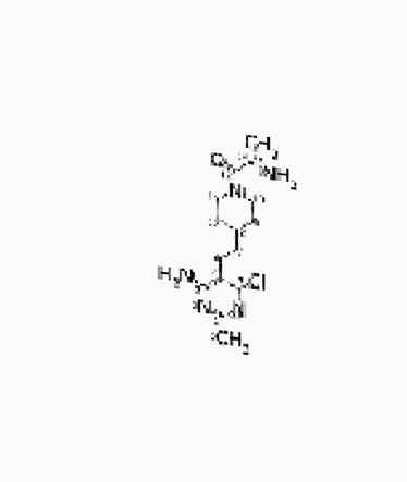 Cc1nc(N)c(CCC2CCN(C(=O)[C@H](C)N)CC2)c(Cl)n1